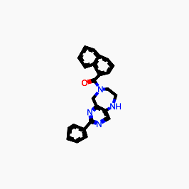 O=C(c1cccc2ccccc12)N1CCNc2cnc(-c3ccccc3)nc2C1